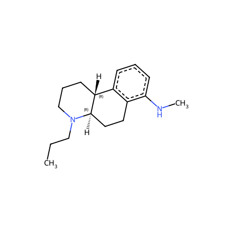 CCCN1CCC[C@@H]2c3cccc(NC)c3CC[C@H]21